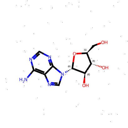 Nc1ncnc2c1ncn2[C@@H]1O[C@@H](CO)[C@H](O)[C@H]1O